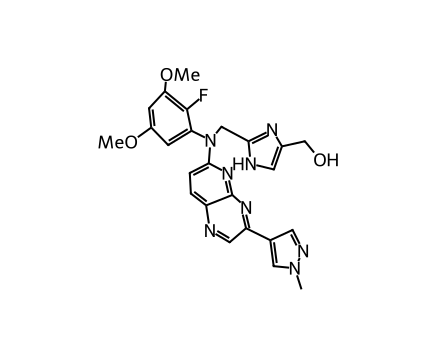 COc1cc(OC)c(F)c(N(Cc2nc(CO)c[nH]2)c2ccc3ncc(-c4cnn(C)c4)nc3n2)c1